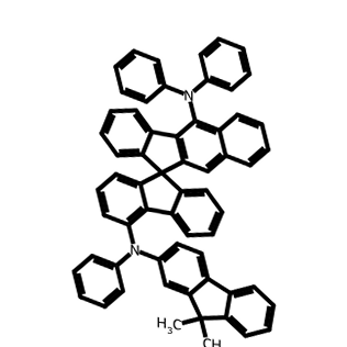 CC1(C)c2ccccc2-c2ccc(N(c3ccccc3)c3cccc4c3-c3ccccc3C43c4ccccc4-c4c3cc3ccccc3c4N(c3ccccc3)c3ccccc3)cc21